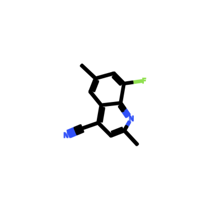 Cc1cc(F)c2nc(C)cc(C#N)c2c1